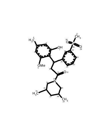 COc1cc(C)cc(O)c1C(CC(=O)N1CC(C)CC(C)C1)c1cccc(S(C)(=O)=O)c1